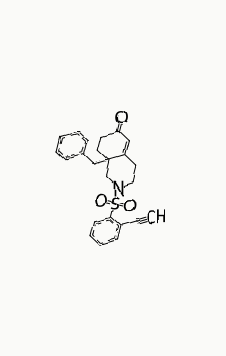 C#Cc1ccccc1S(=O)(=O)N1CCC2=CC(=O)CCC2(Cc2ccccc2)C1